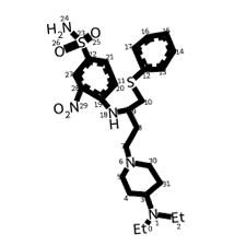 CCN(CC)C1CCN(CCC(CSc2ccccc2)Nc2ccc(S(N)(=O)=O)cc2[N+](=O)[O-])CC1